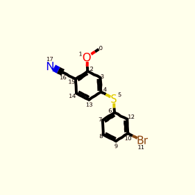 COc1cc(Sc2cccc(Br)c2)ccc1C#N